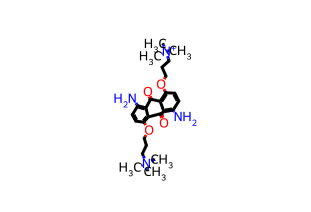 C[N+](C)(C)CCCOc1ccc(N)c2c1C(=O)c1c(N)ccc(OCCC[N+](C)(C)C)c1C2=O